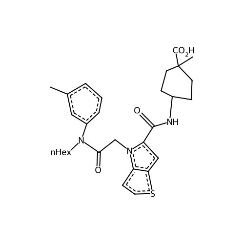 CCCCCCN(C(=O)Cn1c(C(=O)NC2CCC(C)(C(=O)O)CC2)cc2sccc21)c1cccc(C)c1